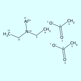 CC(=O)[O-].CC(=O)[O-].CC[N]([Al+2])CC